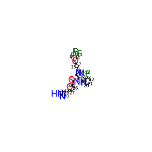 O=C(Nc1cn([C@H]2C[C@@H](OCC(F)(F)F)C2)nc1-c1ncccc1F)c1ccc(-c2cn[nH]c2)o1